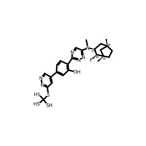 CN(c1cnc(-c2ccc(-c3cnnc(SC(S)(S)S)c3)cc2O)nn1)[C@H]1C[C@]2(C)CC[C@@](C)(C2)[C@H]1F